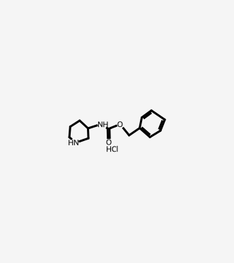 Cl.O=C(NC1CCCNC1)OCc1ccccc1